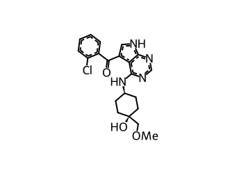 COC[C@]1(O)CC[C@@H](Nc2ncnc3[nH]cc(C(=O)c4ccccc4Cl)c23)CC1